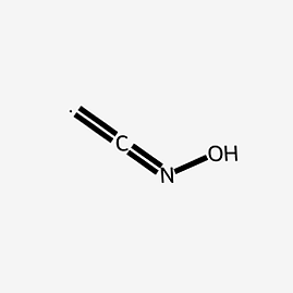 [CH]=C=NO